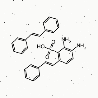 C(=Cc1ccccc1)c1ccccc1.Nc1ccc(C=Cc2ccccc2)c(S(=O)(=O)O)c1N